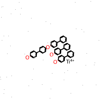 [O-]c1ccc(-c2ccccc2)cc1.[O-]c1ccc(-c2ccccc2)cc1.[O-]c1ccc(-c2ccccc2)cc1.[O-]c1ccc(-c2ccccc2)cc1.[Ti+4]